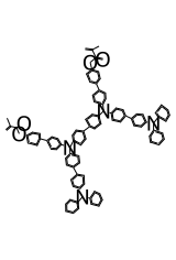 C=C(C)C(=O)Oc1ccc(-c2ccc(N(c3ccc(-c4ccc(N(c5ccccc5)c5ccccc5)cc4)cc3)c3ccc(-c4ccc(N(c5ccc(-c6ccc(OC(=O)C(=C)C)cc6)cc5)c5ccc(-c6ccc(N(c7ccccc7)c7ccccc7)cc6)cc5)cc4)cc3)cc2)cc1